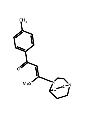 CSC(=CC(=O)c1ccc(C)cc1)N1CCN2CCC1CC2